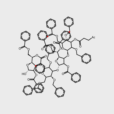 CC(=O)CCC(=O)OC1C(OCc2ccccc2)[C@@H](OC2C(OC(=O)c3ccccc3)[C@H](OC3C(OCc4ccccc4)[C@@H](OC4C(OC(=O)c5ccccc5)[C@H](O)O[C@H]4[C@@H](COC(=O)c4ccccc4)OC(=O)c4ccccc4)OC(COC(=O)c4ccccc4)[C@@H]3OCc3ccccc3)O[C@H]2[C@@H](COC(=O)c2ccccc2)OC(=O)c2ccccc2)OC(COC(=O)c2ccccc2)[C@@H]1OCc1ccccc1